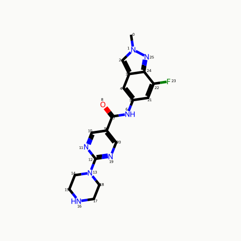 Cn1cc2cc(NC(=O)c3cnc(N4CCNCC4)nc3)cc(F)c2n1